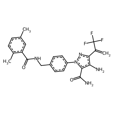 C=C(c1nn(-c2ccc(CNC(=O)c3cc(C)ccc3C)cc2)c(C(N)=O)c1N)C(F)(F)F